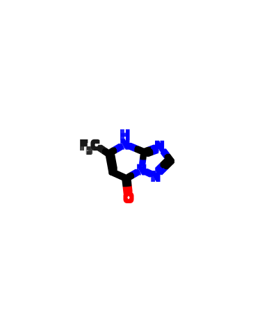 O=c1cc(C(F)(F)F)[nH]c2ncnn12